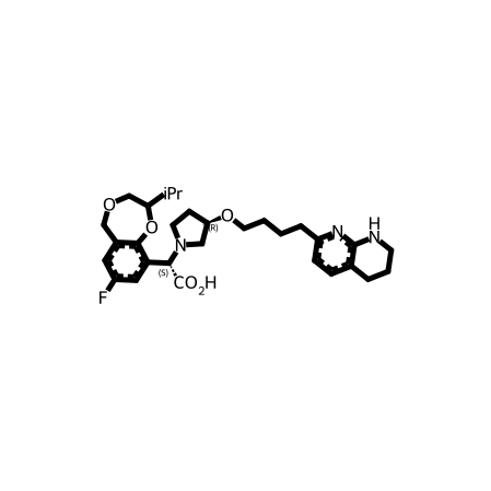 CC(C)C1COCc2cc(F)cc([C@@H](C(=O)O)N3CC[C@@H](OCCCCc4ccc5c(n4)NCCC5)C3)c2O1